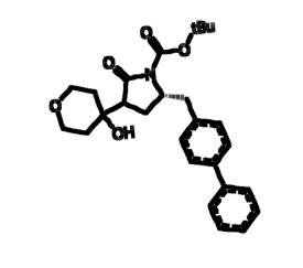 CC(C)(C)OC(=O)N1C(=O)C(C2(O)CCOCC2)C[C@H]1Cc1ccc(-c2ccccc2)cc1